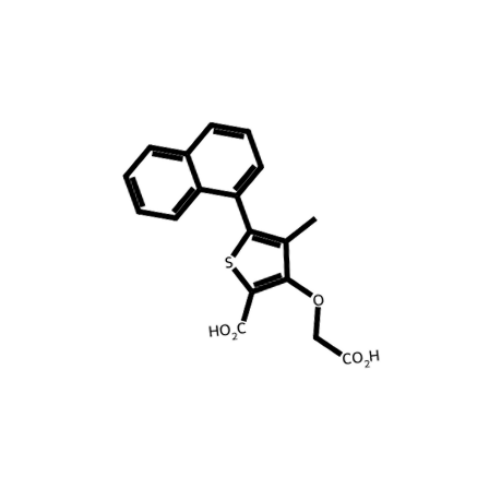 Cc1c(-c2cccc3ccccc23)sc(C(=O)O)c1OCC(=O)O